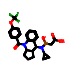 O=C(O)C[S+]([O-])N(C1CC1)C1c2ccccc2N(C(=O)c2ccc(OC(F)(F)F)cc2)C2CCCC21